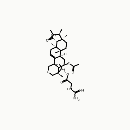 CC(=O)O[C@@H]1C[C@@]23COC[C@](C)([C@@H]2CC[C@H]2C3=CC[C@@]3(C)[C@H](C(=O)O)[C@@](C)([C@H](C)C(C)C)CC[C@]23C)[C@H]1OC(=O)CNC(=N)N